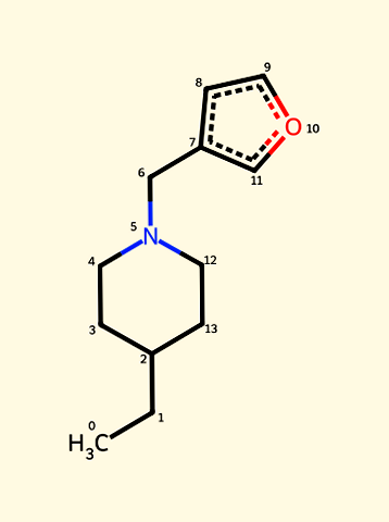 CCC1CCN(Cc2ccoc2)CC1